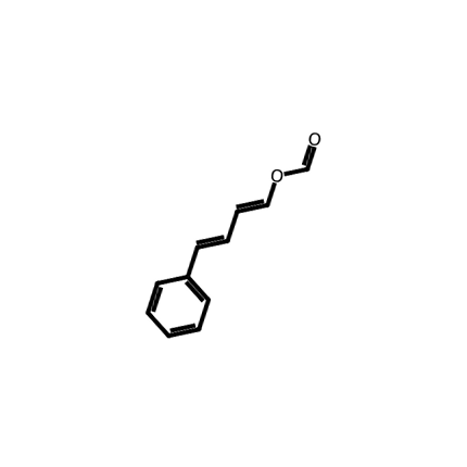 O=COC=CC=Cc1ccccc1